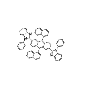 c1ccc(-n2c(-c3ccc4c(-c5cccc6ccccc56)c5cc(-c6nc7ccccc7n6-c6ccccc6)ccc5c(-c5cccc6ccccc56)c4c3)nc3ccccc32)cc1